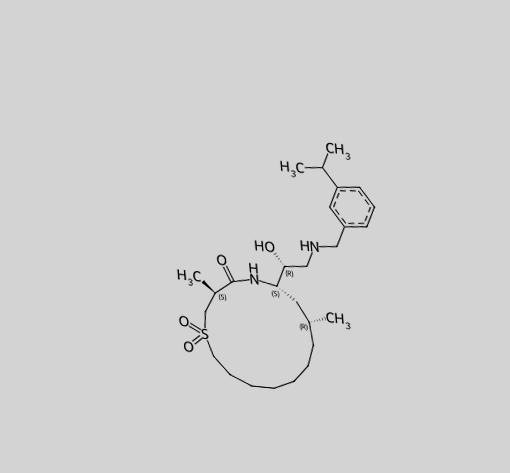 CC(C)c1cccc(CNC[C@@H](O)[C@@H]2C[C@H](C)CCCCCCCS(=O)(=O)C[C@@H](C)C(=O)N2)c1